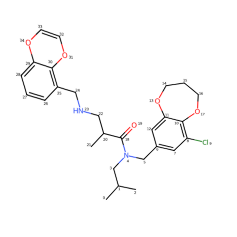 CC(C)CN(Cc1cc(Cl)c2c(c1)OCCCO2)C(=O)C(C)CNCc1cccc2c1OC=CO2